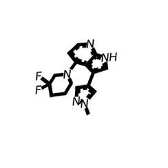 Cn1cc(-c2c[nH]c3nccc(N4CCCC(F)(F)C4)c23)cn1